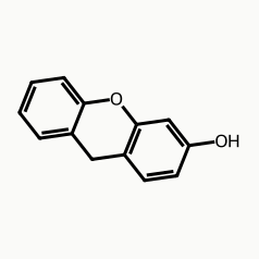 Oc1ccc2c(c1)Oc1ccccc1C2